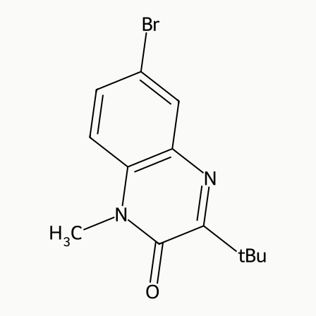 Cn1c(=O)c(C(C)(C)C)nc2cc(Br)ccc21